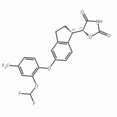 O=C1NC(=O)[C@H]([C@@H]2CCc3cc(Oc4ccc(C(F)(F)F)cc4OC(F)F)ccc32)O1